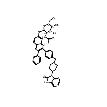 CC(=O)N[C@H]1C(Oc2ccc3nc(-c4ccccc4)c(-c4ccc(CN5CCC(n6c(=O)[nH]c7ccccc76)CC5)cc4)nc3c2)O[C@H](CO)[C@@H](O)[C@@H]1O